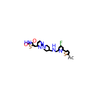 CC(=O)c1ccc(-c2cc(F)cc(CNCC3CCN(c4nccc(C=C5SC(=O)NC5=O)n4)CC3)n2)s1